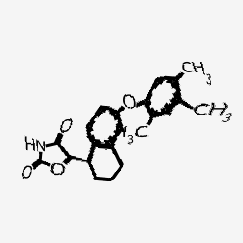 Cc1cc(C)c(Oc2ccc3c(c2)CCC[C@H]3C2OC(=O)NC2=O)cc1C